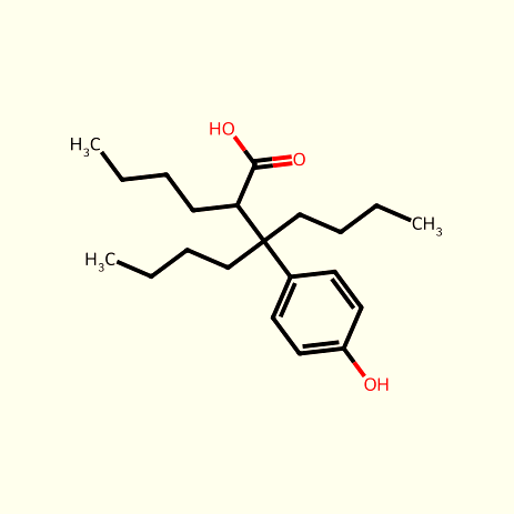 CCCCC(C(=O)O)C(CCCC)(CCCC)c1ccc(O)cc1